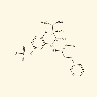 COC(OC)[C@@]1(C)Oc2ccc(OS(C)(=O)=O)cc2[C@@H](NC(=NC#N)NCc2ccccc2)[C@@H]1O